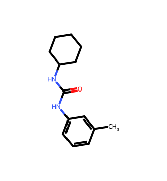 Cc1cccc(NC(=O)NC2CCCCC2)c1